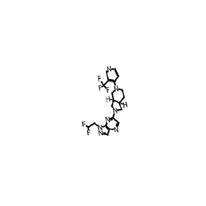 FC(F)Cn1ncc2ncc(N3C[C@H]4CCN(c5ccncc5C(F)(F)F)C[C@H]4C3)nc21